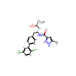 CCOC(=O)[C@H](O)C[C@@H](Cc1ccc(-c2cc(Cl)ccc2F)cc1)NC(=O)c1cc(C(C)=O)[nH]n1